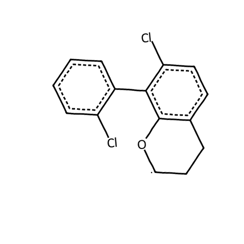 Clc1ccccc1-c1c(Cl)ccc2c1O[CH]CC2